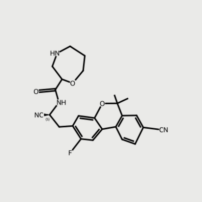 CC1(C)Oc2cc(C[C@@H](C#N)NC(=O)C3CNCCCO3)c(F)cc2-c2ccc(C#N)cc21